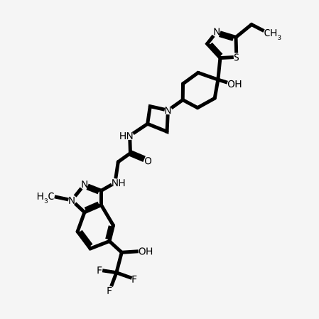 CCc1ncc(C2(O)CCC(N3CC(NC(=O)CNc4nn(C)c5ccc(C(O)C(F)(F)F)cc45)C3)CC2)s1